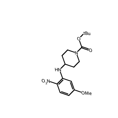 COc1ccc([N+](=O)[O-])c(NC2CCN(C(=O)OC(C)(C)C)CC2)c1